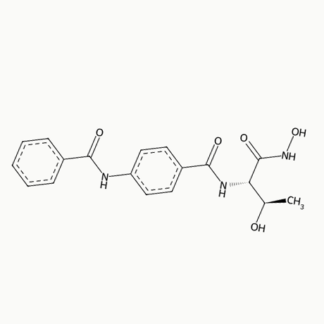 C[C@@H](O)[C@H](NC(=O)c1ccc(NC(=O)c2ccccc2)cc1)C(=O)NO